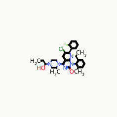 C=CC(O)N1CCN(c2nc(=O)n(-c3c(C)cccc3CC)c3nc(-c4ccccc4F)c(Cl)cc23)[C@@H](C)C1